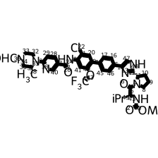 COC(=O)N[C@H](C(=O)N1CCC[C@H]1c1nc(-c2ccc(-c3cc(Cl)c(NC(=O)c4ccc(N5CCN(C=O)C[C@H]5C)nc4)cc3OC(F)(F)F)cc2)c[nH]1)C(C)C